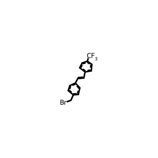 FC(F)(F)c1ccc(/C=C/c2ccc(CBr)cc2)cc1